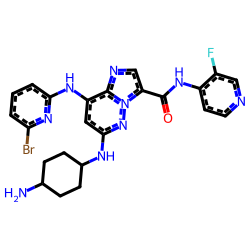 NC1CCC(Nc2cc(Nc3cccc(Br)n3)c3ncc(C(=O)Nc4ccncc4F)n3n2)CC1